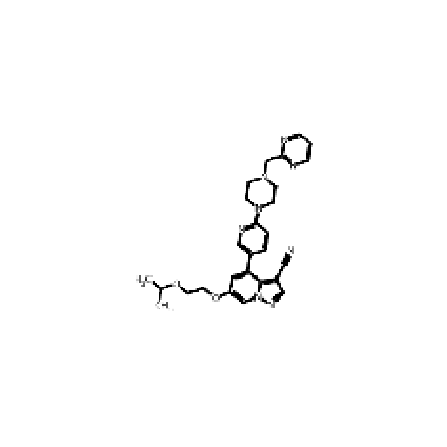 CC(C)OCCOc1cc(-c2ccc(N3CCN(Cc4ncccn4)CC3)nc2)c2c(C#N)cnn2c1